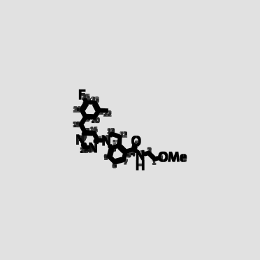 COCCNC(=O)c1cccc2c1CCN2c1cc(Cc2cc(C)cc(F)c2)ncn1